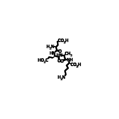 C[C@H](NC(=O)[C@H](CCC(=O)O)NC(=O)[C@@H](N)CCC(=O)O)C(=O)N[C@@H](CCCCN)C(=O)O